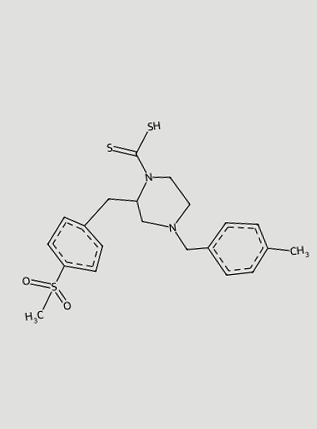 Cc1ccc(CN2CCN(C(=S)S)C(Cc3ccc(S(C)(=O)=O)cc3)C2)cc1